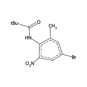 Cc1cc(Br)cc([N+](=O)[O-])c1NC(=O)C(C)(C)C